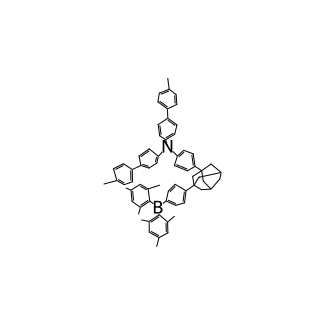 Cc1ccc(-c2ccc(N(c3ccc(-c4ccc(C)cc4)cc3)c3ccc(C45CC6CC(CC(c7ccc(B(c8c(C)cc(C)cc8C)c8c(C)cc(C)cc8C)cc7)(C6)C4)C5)cc3)cc2)cc1